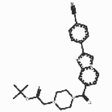 CC(C)(C)OC(=O)CN1CCN(C(=O)c2ccn3cc(-c4ccc(C#N)cc4)nc3c2)CC1